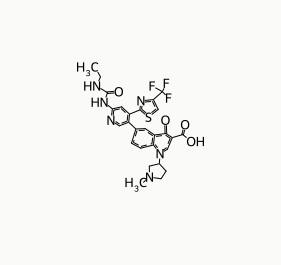 CCNC(=O)Nc1cc(-c2nc(C(F)(F)F)cs2)c(-c2ccc3c(c2)c(=O)c(C(=O)O)cn3C2CCN(C)C2)cn1